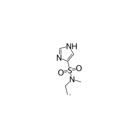 [CH2]CN(C)S(=O)(=O)c1c[nH]cn1